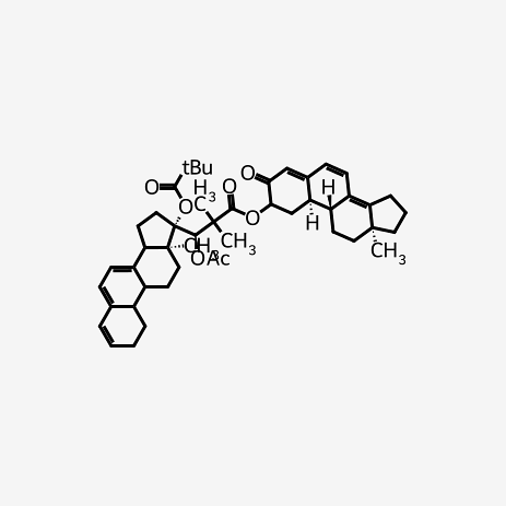 CC(=O)O[C@H](C(C)(C)C(=O)OC1C[C@H]2C(=CC1=O)C=CC1=C3CCC[C@@]3(C)CC[C@@H]12)[C@]1(OC(=O)C(C)(C)C)CCC2C3=CC=C4C=CCCC4C3CC[C@@]21C